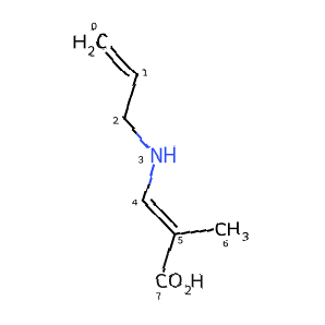 C=CCNC=C(C)C(=O)O